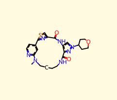 CN1CCCCNC(=O)c2nn(C3CCOCC3)cc2NC(=O)c2csc(n2)-c2ccnc1c2